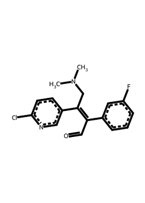 CN(C)CC(=C(C=O)c1cccc(F)c1)c1ccc(Cl)nc1